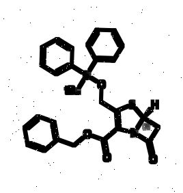 CC(C)(C)[Si](OCC1=C(C(=O)OCc2ccccc2)N2C(=O)C[C@H]2S1)(c1ccccc1)c1ccccc1